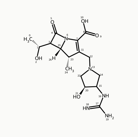 C[C@@H](O)C1C(=O)N2C(C(=O)O)=C(CN3CC(NC(=N)N)[C@@H](O)C3)[C@H](C)[C@H]12